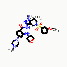 COc1cccc(S(=O)(=O)N2Cc3c(NC(=O)c4ccc(N5CCN(C)CC5)cc4NC4CCOCC4)n[nH]c3C(C)(C)C2)c1